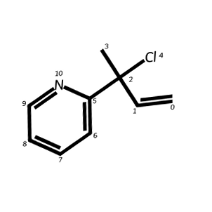 C=CC(C)(Cl)c1ccccn1